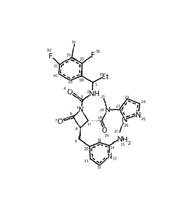 CCC(NC(=O)N1C(=O)[C@H](Cc2ccnc(N)c2)[C@H]1C(=O)N(C)c1ccnn1C)c1ccc(F)c(C)c1F